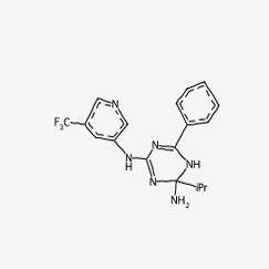 CC(C)C1(N)N=C(Nc2cncc(C(F)(F)F)c2)N=C(c2ccccc2)N1